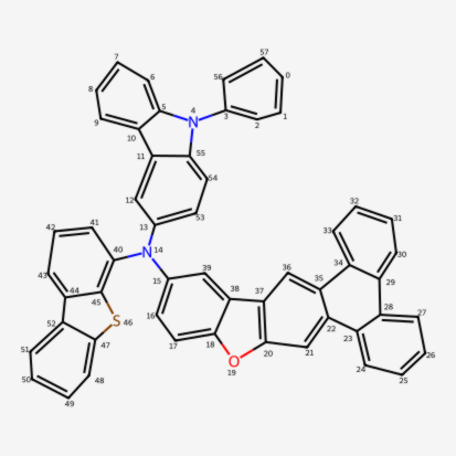 c1ccc(-n2c3ccccc3c3cc(N(c4ccc5oc6cc7c8ccccc8c8ccccc8c7cc6c5c4)c4cccc5c4sc4ccccc45)ccc32)cc1